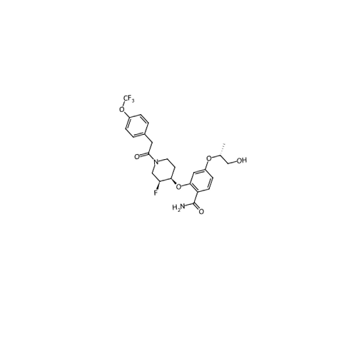 C[C@H](CO)Oc1ccc(C(N)=O)c(O[C@@H]2CCN(C(=O)Cc3ccc(OC(F)(F)F)cc3)C[C@@H]2F)c1